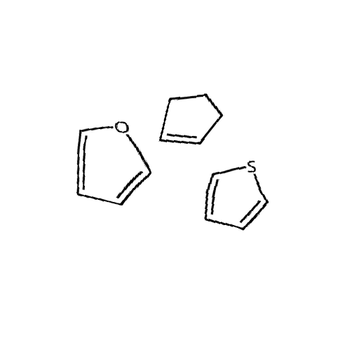 C1=CCCC1.c1ccoc1.c1ccsc1